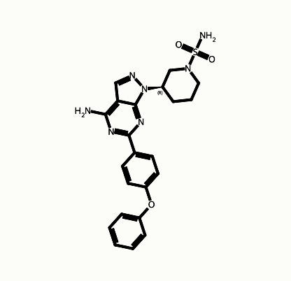 Nc1nc(-c2ccc(Oc3ccccc3)cc2)nc2c1cnn2[C@@H]1CCCN(S(N)(=O)=O)C1